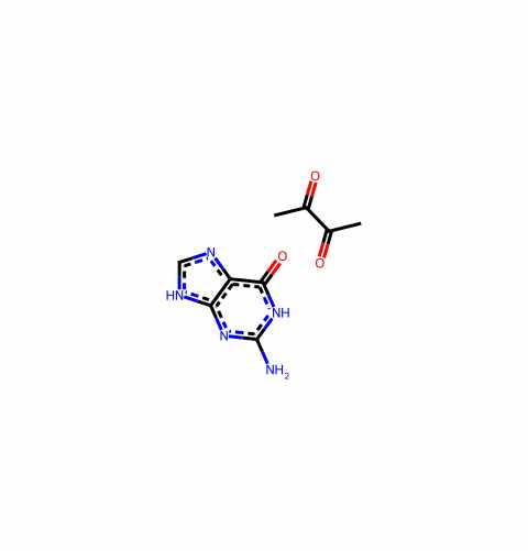 CC(=O)C(C)=O.Nc1nc2[nH]cnc2c(=O)[nH]1